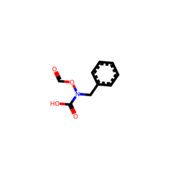 O=CON(Cc1ccccc1)C(=O)O